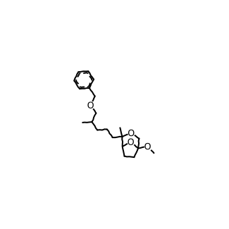 COC12CCC(O1)C(C)(CCCC(C)COCc1ccccc1)OC2